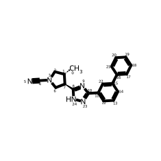 C[C@H]1CN(C#N)C[C@@H]1c1nc(-c2cccc(-c3ccccc3)c2)n[nH]1